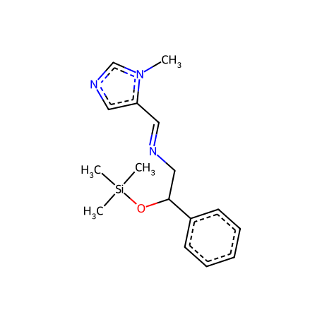 Cn1cncc1C=NCC(O[Si](C)(C)C)c1ccccc1